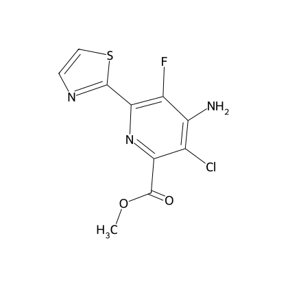 COC(=O)c1nc(-c2nccs2)c(F)c(N)c1Cl